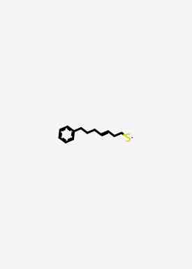 [S]CC/C=C/CCCc1ccccc1